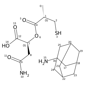 C[C@H](CS)C(=O)O[C@@H](CC(N)=O)C(=O)O.NC12CC3CC(CC(C3)C1)C2